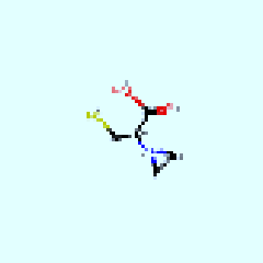 O=C(O)[C@H](CS)N1CC1